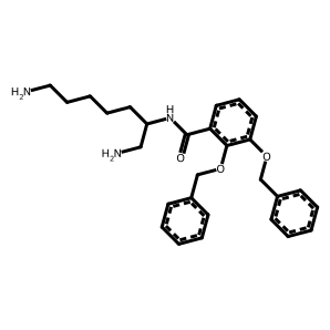 NCCCCCC(CN)NC(=O)c1cccc(OCc2ccccc2)c1OCc1ccccc1